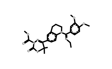 CCN=C(c1ccc(OC)c(OC)c1)N1CCCc2cc(C3=NN(C(=O)OC)C(=O)SC3(C)C)ccc21